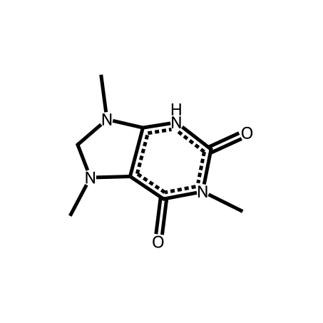 CN1CN(C)c2c1[nH]c(=O)n(C)c2=O